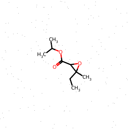 CCC1(C)OC1C(=O)OC(C)C